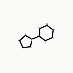 C1CCC(P2CCCC2)CC1